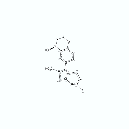 C[C@H]1CCOc2ccc(-c3c(C(=O)O)sc4cc(F)ccc34)cc21